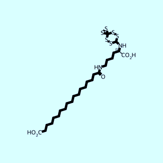 O=C(O)CCCCCCCCCCCCCCCCC(=O)NCCCC[C@H](NC1SSC2(SS1)SS2)C(=O)O